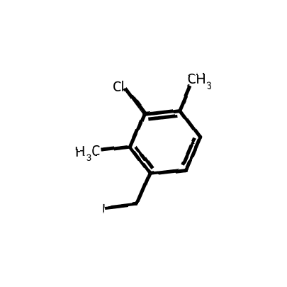 Cc1ccc(CI)c(C)c1Cl